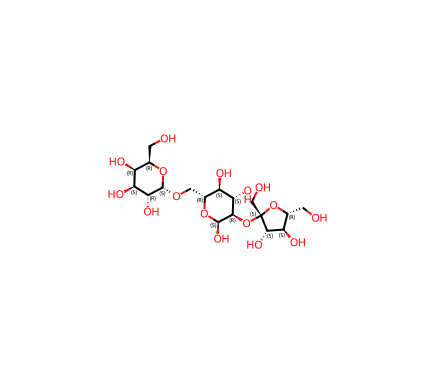 OC[C@H]1O[C@H](OC[C@H]2O[C@H](O)[C@H](O[C@]3(CO)O[C@H](CO)[C@@H](O)[C@@H]3O)[C@@H](O)[C@@H]2O)[C@H](O)[C@@H](O)[C@H]1O